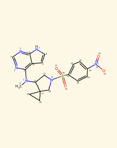 CN(c1ncnc2[nH]ccc12)C1CN(S(=O)(=O)c2ccc([N+](=O)[O-])cc2)CC12CC2